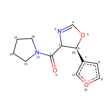 O=C(C1N=CO[C@H]1c1ccoc1)N1CCCC1